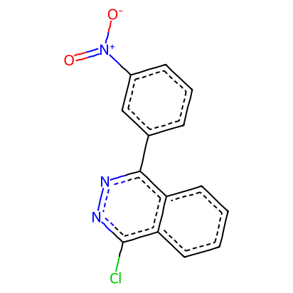 O=[N+]([O-])c1cccc(-c2nnc(Cl)c3ccccc23)c1